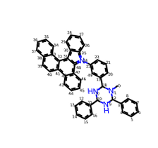 CN1C(c2ccccc2)NC(c2ccccc2)NC1c1cccc(-n2c3ccccc3c3c4c5ccccc5ccc4c4ccccc4c32)c1